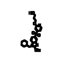 CC(C)(C)c1nc2cc(S(=O)(=O)c3ccnc(OCCCO)c3)ccc2n1CC1CCCCC1